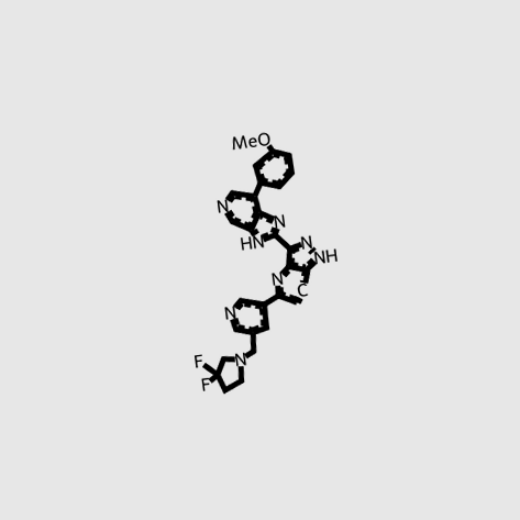 COc1cccc(-c2cncc3[nH]c(-c4n[nH]c5ccc(-c6cncc(CN7CCC(F)(F)C7)c6)nc45)nc23)c1